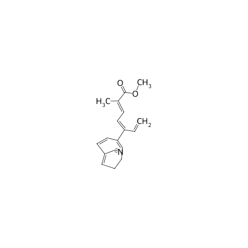 C=CC(=C\C=C(/C)C(=O)OC)/C1=C/CC/C=C(C#N)/C=C\1